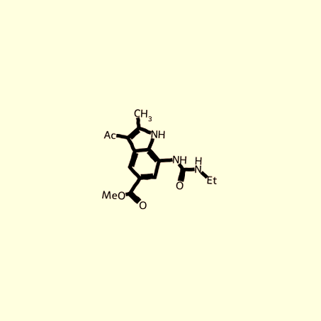 CCNC(=O)Nc1cc(C(=O)OC)cc2c(C(C)=O)c(C)[nH]c12